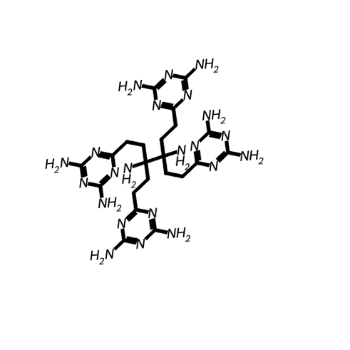 Nc1nc(N)nc(CCC(N)(CCc2nc(N)nc(N)n2)C(N)(CCc2nc(N)nc(N)n2)CCc2nc(N)nc(N)n2)n1